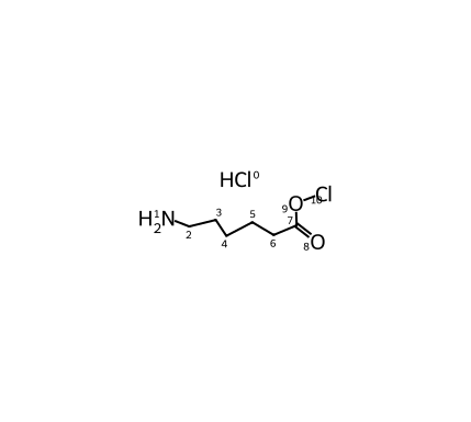 Cl.NCCCCCC(=O)OCl